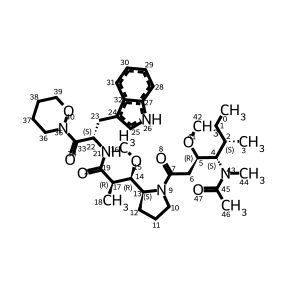 CC[C@H](C)[C@@H]([C@@H](CC(=O)N1CCC[C@H]1[C@H](OC)[C@@H](C)C(=O)N[C@@H](Cc1c[nH]c2ccccc12)C(=O)N1CCCCO1)OC)N(C)C(C)=O